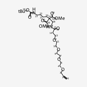 C#CCOCCOCCOCCOCCC(=O)NCC(CCCCNC(=O)OC(C)(C)C)(C(=O)OC)C(=O)OC